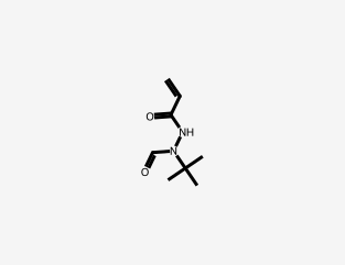 C=CC(=O)NN(C=O)C(C)(C)C